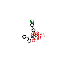 O=C(O)CN([C@]1(C(=O)O)C[C@H]1c1ccccc1Cc1ccccc1)S(=O)(=O)c1ccc(-c2ccc(Cl)cc2)cc1